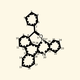 O=C(c1ccccc1)c1cccc2c3ccccc3c3nc4ccccc4nc3c12